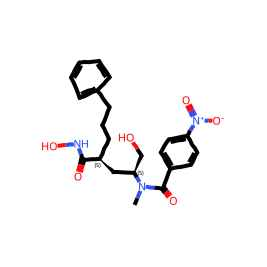 CN(C(=O)c1ccc([N+](=O)[O-])cc1)[C@H](CO)C[C@H](CCCc1ccccc1)C(=O)NO